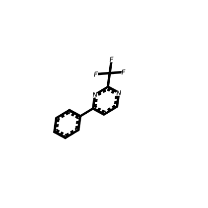 FC(F)(F)c1nccc(-c2ccccc2)n1